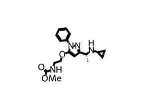 COC(=O)NCCOc1cc([C@@H](C)NC2CC2)nn1-c1ccccc1